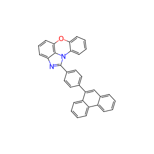 c1ccc2c(c1)Oc1cccc3nc(-c4ccc(-c5cc6ccccc6c6ccccc56)cc4)n-2c13